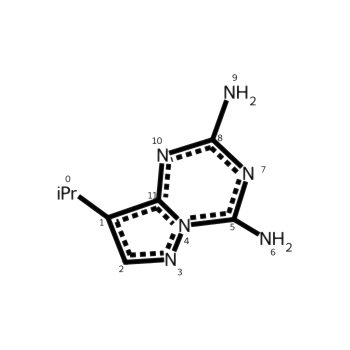 CC(C)c1cnn2c(N)nc(N)nc12